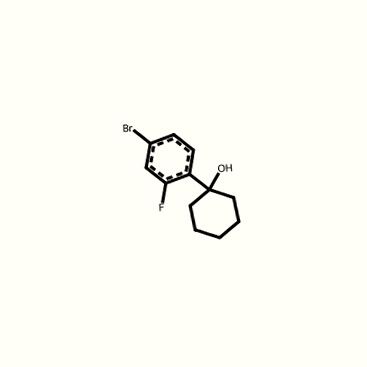 OC1(c2ccc(Br)cc2F)CCCCC1